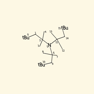 CC(C)(C)CC(C)(C)N(C(C)(C)CC(C)(C)C)C(C)(C)CC(C)(C)C